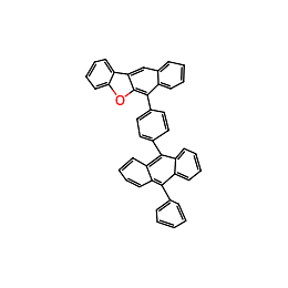 c1ccc(-c2c3ccccc3c(-c3ccc(-c4c5ccccc5cc5c4oc4ccccc45)cc3)c3ccccc23)cc1